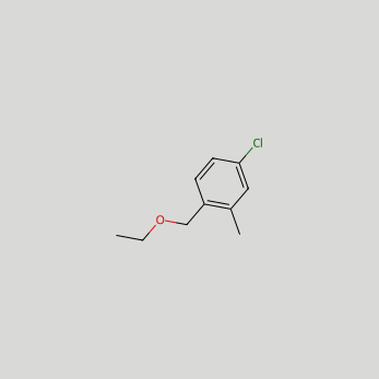 CCOCc1ccc(Cl)cc1C